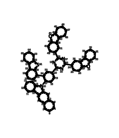 c1ccc2cc3c(cc2c1)c1ccccc1n3-c1ccc(-c2nc(-c3ccc4oc5ccccc5c4c3)nc(-c3ccc4oc5ccccc5c4c3)n2)cc1-c1cccc2c1sc1ccccc12